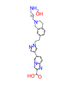 NC[C@H](O)CN1CCc2ccc(CCn3cc(-c4ccc5nc(C(=O)O)cn5c4)cn3)cc2C1